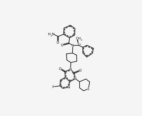 C[C@@H](c1ccccc1)N(C(=O)c1ccccc1C(N)=O)C1CCC(n2c(=O)c3cc(F)cnc3n(C3CCSCC3)c2=O)CC1